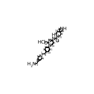 Cl.NCC1C2CN(CCc3ccc(-n4ccc(NC(=O)N5CCC6(CC5)CNC6)nc4=O)cc3)CC12